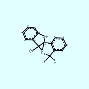 NC12N[C@@]1(c1ccccc1C(F)(F)F)Nc1ccccc12